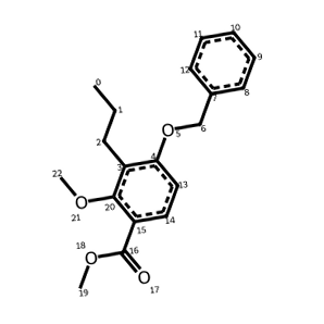 CCCc1c(OCc2ccccc2)ccc(C(=O)OC)c1OC